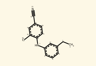 CCc1cccc(Nc2ccc(C#N)cc2Cl)c1